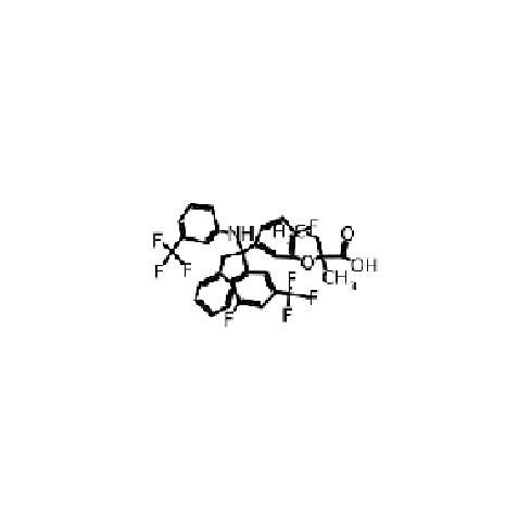 CCC(C)(Oc1cc(C(Cc2ccccc2)(Nc2cccc(C(F)(F)F)c2)c2cc(F)cc(C(F)(F)F)c2)ccc1F)C(=O)O